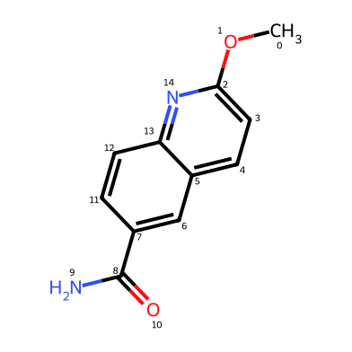 COc1ccc2cc(C(N)=O)ccc2n1